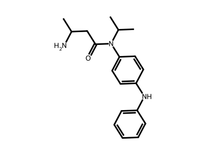 CC(N)CC(=O)N(c1ccc(Nc2ccccc2)cc1)C(C)C